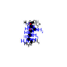 CCCC(C)Nc1cc(N)cc(Nc2cc(N)cc(Nc3cc(Nc4cc(N)cc(N)c4)cc(Nc4cccc(NC(C)(C)CCC)c4)c3)c2)c1